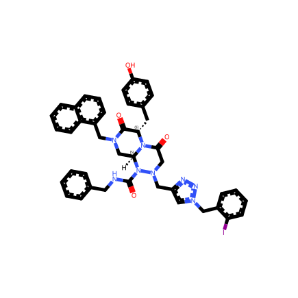 O=C1[C@H](Cc2ccc(O)cc2)N2C(=O)CN(Cc3cn(Cc4ccccc4I)nn3)N(C(=O)NCc3ccccc3)[C@H]2CN1Cc1cccc2ccccc12